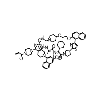 C=CC(=O)N1CCN(c2nc(O[C@H](C)CN3CCC(OCCOc4ccc5ccccc5c4-c4csc(C5CCN(C(=O)[C@@H](NC(=O)[C@H](C)NC)C6CCCCC6)C5)n4)CC3)nc3c2CCN(c2cc(O)cc4ccccc24)C3)CC1